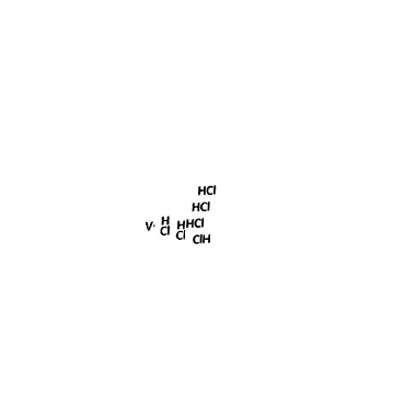 Cl.Cl.Cl.Cl.Cl.Cl.[V]